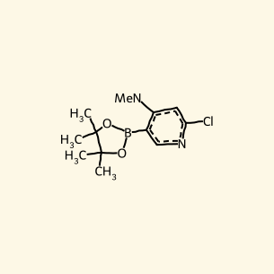 CNc1cc(Cl)ncc1B1OC(C)(C)C(C)(C)O1